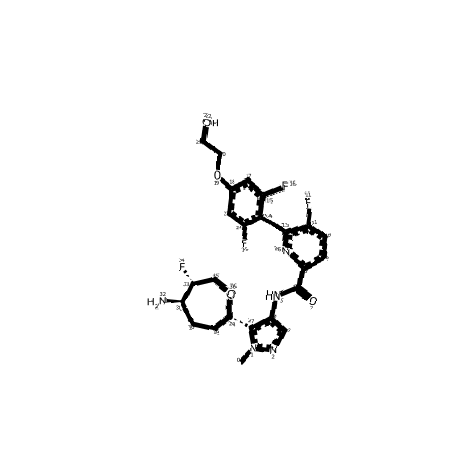 Cn1ncc(NC(=O)c2ccc(F)c(-c3c(F)cc(OCCO)cc3F)n2)c1[C@@H]1CC[C@@H](N)[C@H](F)CO1